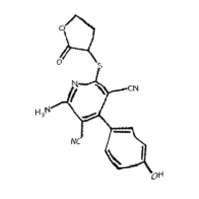 N#Cc1c(N)nc(SC2CCOC2=O)c(C#N)c1-c1ccc(O)cc1